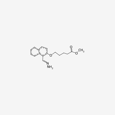 COC(=O)CCCCOc1ccc2ccccc2c1C=NN